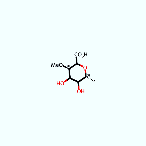 CO[C@H]1C(C(=O)O)O[C@H](C)C(O)C1O